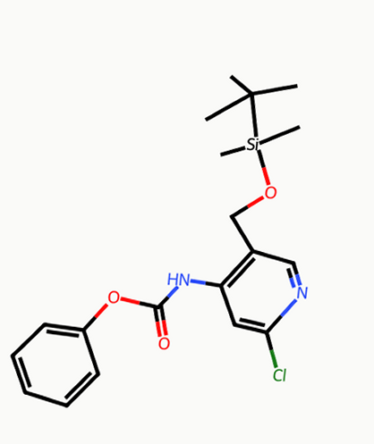 CC(C)(C)[Si](C)(C)OCc1cnc(Cl)cc1NC(=O)Oc1ccccc1